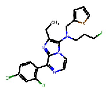 CCc1nc2c(-c3ccc(Cl)cc3Cl)nccn2c1N(CCCF)Cc1cccs1